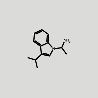 CC(C)c1cn(C(C)N)c2ccccc12